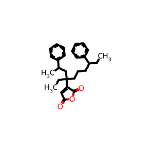 CCC(CCCC(CC)(CC(C)c1ccccc1)C1=CC(=O)OC1=O)c1ccccc1